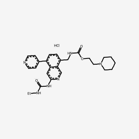 CCNC(=O)Nc1cc2c(-c3ccncc3)ccc(CNC(=O)OCCN3CCCCC3)c2cn1.Cl